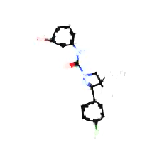 CCOC(=O)C1(C)CN(C(=O)Nc2cccc(Br)c2)N=C1c1ccc(Cl)cc1